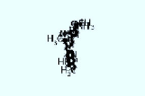 CCc1cc2ncc(CN3CCN(c4ccc(C(=O)NC)nc4C#N)C4C(C)C43)cc2[nH]c1=O